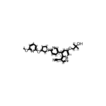 COc1cccc(OC2CCN(c3ccc(-c4cc(OCC(C)(C)O)cn5ncc(C#N)c45)cn3)C2)n1